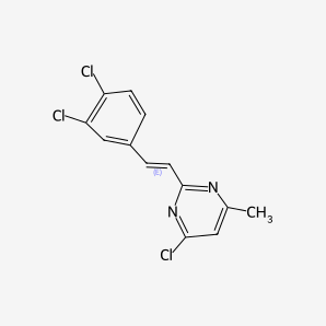 Cc1cc(Cl)nc(/C=C/c2ccc(Cl)c(Cl)c2)n1